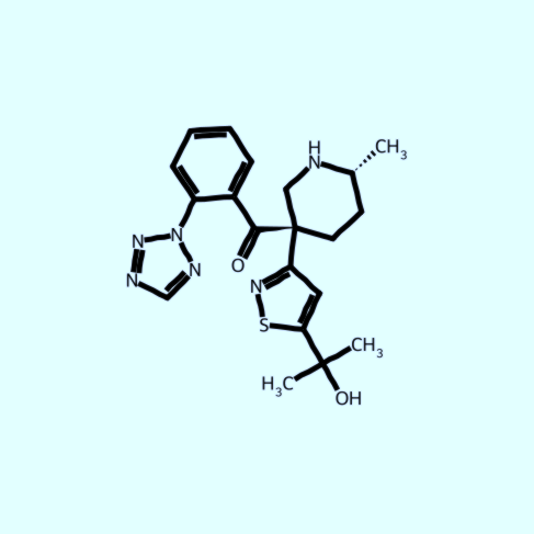 C[C@@H]1CC[C@](C(=O)c2ccccc2-n2ncnn2)(c2cc(C(C)(C)O)sn2)CN1